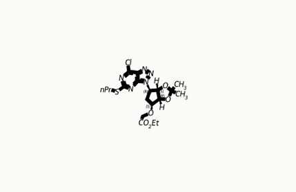 CCCSc1nc(Cl)c2nnn([C@@H]3C[C@H](OCC(=O)OCC)[C@H]4OC(C)(C)O[C@H]43)c2n1